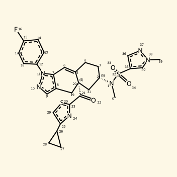 CN([C@H]1CCC2=Cc3c(cnn3-c3ccc(F)cc3)C[C@]2(C(=O)c2nc(C3CC3)cs2)C1)S(=O)(=O)c1cnn(C)c1